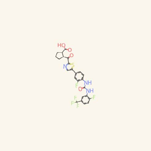 O=C(Nc1ccc(-c2cnc(C(=O)C3CCCC3C(=O)O)s2)cc1F)Nc1cc(C(F)(F)F)ccc1F